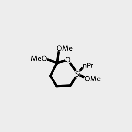 CCC[Si]1(OC)CCCC(OC)(OC)O1